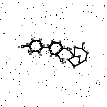 CC1CCC2CCC(Oc3ccc(-c4ccc(=O)[nH]n4)cc3C(F)(F)F)(C1)C2